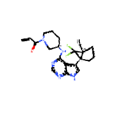 C=CC(=O)N1CCC[C@@H](Nc2ncnc3[nH]cc([C@]45CCC[C@H]4C5(F)F)c23)C1